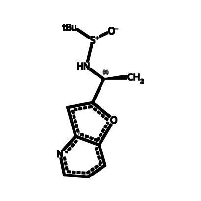 C[C@H](N[S+]([O-])C(C)(C)C)c1cc2ncccc2o1